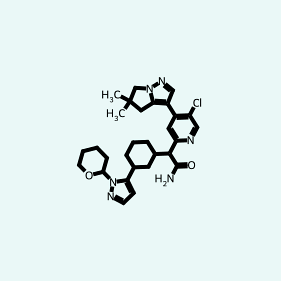 CC1(C)Cc2c(-c3cc(C(C(N)=O)C4CCCC(c5ccnn5C5CCCCO5)C4)ncc3Cl)cnn2C1